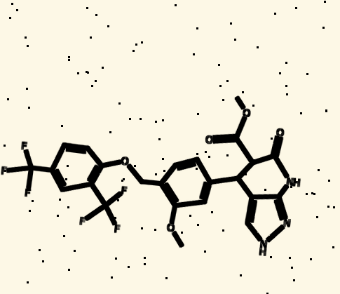 COC(=O)C1C(=O)Nc2n[nH]cc2C1c1ccc(COc2ccc(C(F)(F)F)cc2C(F)(F)F)c(OC)c1